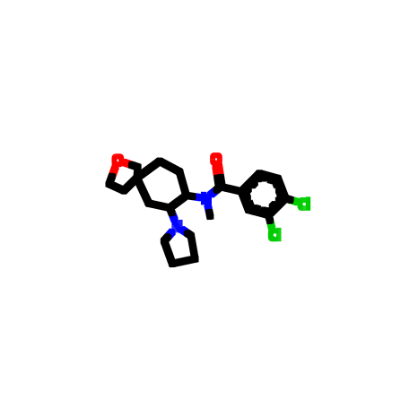 CN(C(=O)c1ccc(Cl)c(Cl)c1)C1CCC2(CCOC2)CC1N1CCCC1